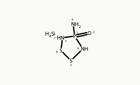 NP1(=O)NSSN1.[SiH4]